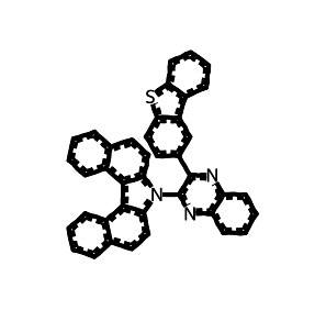 c1ccc2c(c1)ccc1c2c2c3ccccc3ccc2n1-c1nc2ccccc2nc1-c1ccc2sc3ccccc3c2c1